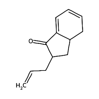 C=CCC1CC2CC=CC=C2C1=O